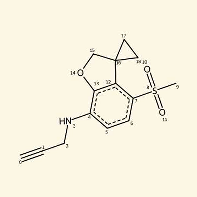 C#CCNc1ccc(S(C)(=O)=O)c2c1OCC21CC1